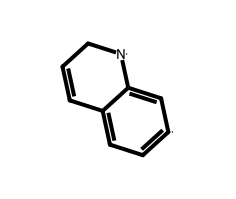 [c]1ccc2c(c1)[N]CC=C2